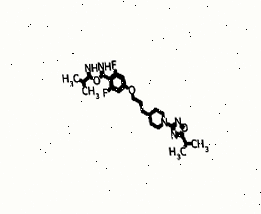 CC(C)C(=N)OC(=N)c1c(F)cc(OCCCC2CCN(c3noc(C(C)C)n3)CC2)cc1F